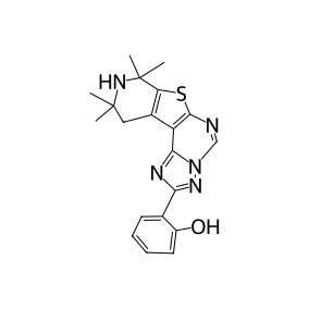 CC1(C)Cc2c(sc3ncn4nc(-c5ccccc5O)nc4c23)C(C)(C)N1